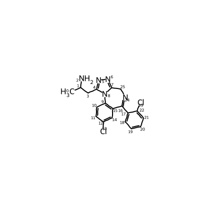 CC(N)Cc1nnc2n1-c1ccc(Cl)cc1C(c1ccccc1Cl)=NC2